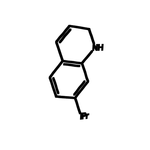 CC(C)c1ccc2c(c1)NCC=C2